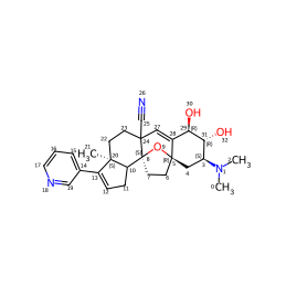 CN(C)[C@H]1C[C@@]23CC[C@]4(O2)C2CC=C(c5cccnc5)[C@@]2(C)CCC4(C#N)C=C3[C@@H](O)[C@@H]1O